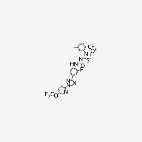 Cc1ccc(C(F)(F)F)c(N2C(=O)CSC2=NC(=O)Nc2ccc(-c3ncn(-c4ccc(OC(F)(F)F)cn4)n3)cc2F)c1